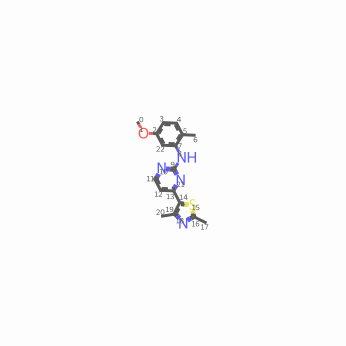 COc1ccc(C)c(Nc2nccc(-c3sc(C)nc3C)n2)c1